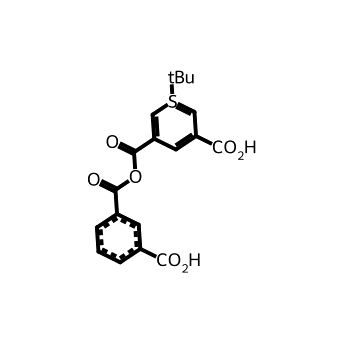 CC(C)(C)S1=CC(C(=O)O)=CC(C(=O)OC(=O)c2cccc(C(=O)O)c2)=C1